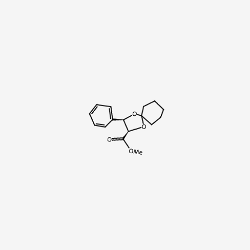 COC(=O)[C@@H]1OC2(CCCCC2)O[C@@H]1c1ccccc1